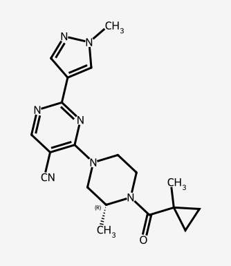 C[C@@H]1CN(c2nc(-c3cnn(C)c3)ncc2C#N)CCN1C(=O)C1(C)CC1